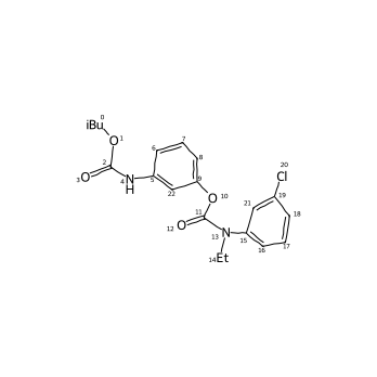 CCC(C)OC(=O)Nc1cccc(OC(=O)N(CC)c2cccc(Cl)c2)c1